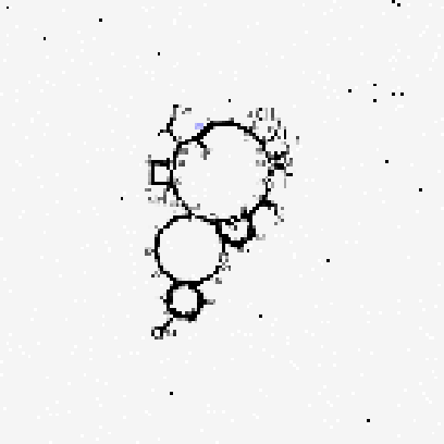 C[C@@H]1[C@@H](C)C/C=C(\F)[C@H](CF)N2CC[C@H]2CN2CCCCc3cc(Cl)ccc3COc3ccc(cc32)C(=O)NS1(=O)=O